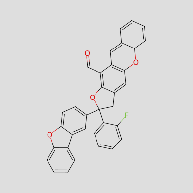 O=Cc1c2c(cc3c1OC(c1ccc4oc5ccccc5c4c1)(c1ccccc1F)C3)OC1C=CC=CC1=C2